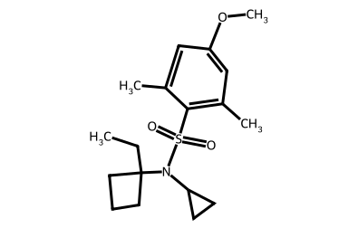 CCC1(N(C2CC2)S(=O)(=O)c2c(C)cc(OC)cc2C)CCC1